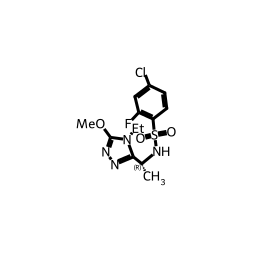 CCn1c(OC)nnc1[C@@H](C)NS(=O)(=O)c1ccc(Cl)cc1F